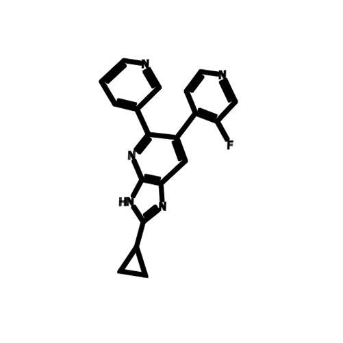 Fc1cnccc1-c1cc2nc(C3CC3)[nH]c2nc1-c1cccnc1